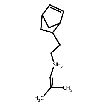 CC(C)=C[SiH2]CCC1CC2C=CC1C2